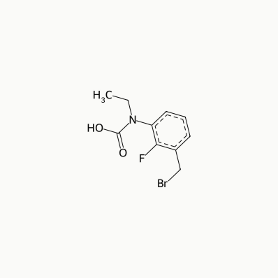 CCN(C(=O)O)c1cccc(CBr)c1F